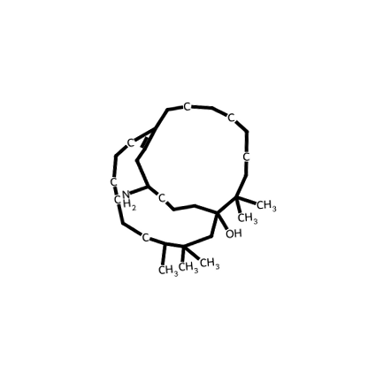 CC1CCCCCC/C2=C\CC(N)CCCC(O)(CC1(C)C)C(C)(C)CCCCCCC2